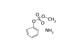 COS(=O)(=O)Oc1ccccc1.N